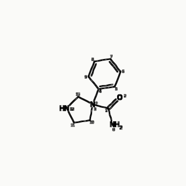 NC(=O)[N+]1(c2ccccc2)CCNC1